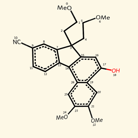 COCCC1(CCOC)c2cc(C#N)ccc2-c2c1cc(O)c1cc(OC)c(OC)cc21